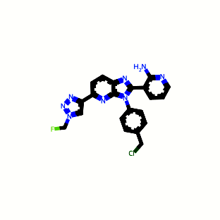 Nc1ncccc1-c1nc2ccc(-c3cn(CF)nn3)nc2n1-c1ccc(CCl)cc1